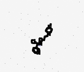 CN1CCN(CCCO/N=C(\Cl)c2cccnc2)CC1